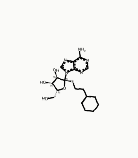 Nc1ncnc2c1ncn2[C@]1(SCCC2CCCCC2)O[C@H](CO)[C@@H](O)[C@H]1O